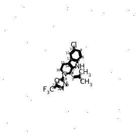 CC(C)=C[C@H]1c2[nH]c3ccc(Cl)cc3c2CCN1c1nnc(C(F)(F)F)o1